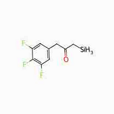 O=C(C[SiH3])Cc1cc(F)c(F)c(F)c1